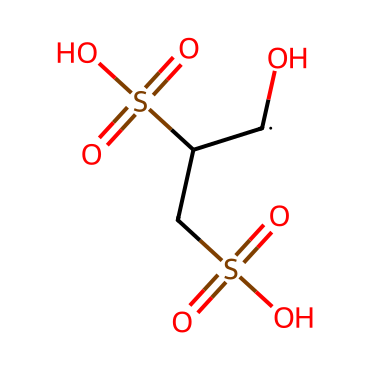 O=S(=O)(O)CC([CH]O)S(=O)(=O)O